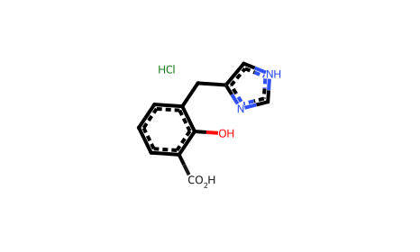 Cl.O=C(O)c1cccc(Cc2c[nH]cn2)c1O